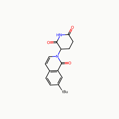 CC(C)(C)c1ccc2ccn(C3CCC(=O)NC3=O)c(=O)c2c1